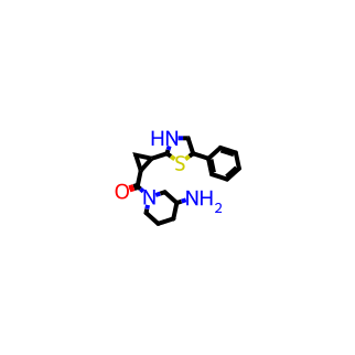 NC1CCCN(C(=O)C2CC2C2NCC(c3ccccc3)S2)C1